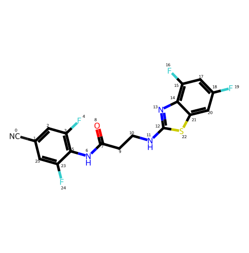 N#Cc1cc(F)c(NC(=O)CCNc2nc3c(F)cc(F)cc3s2)c(F)c1